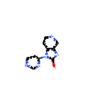 O=c1[nH]c2cnccc2n1-c1ccncn1